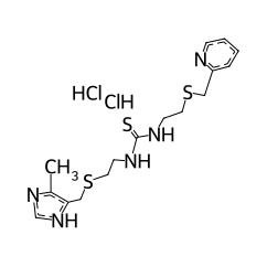 Cc1nc[nH]c1CSCCNC(=S)NCCSCc1ccccn1.Cl.Cl